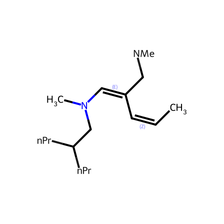 C/C=C\C(=C/N(C)CC(CCC)CCC)CNC